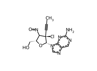 CC#C[C@@]1(Cl)C(N=O)[C@@H](CO)O[C@H]1n1cnc2cnc(N)nc21